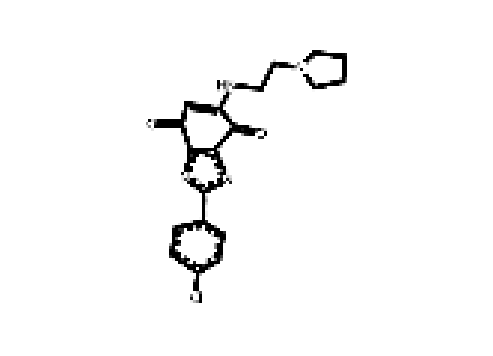 O=C1C=C(NCCN2CCCC2)C(=O)c2sc(-c3ccc(Cl)cc3)nc21